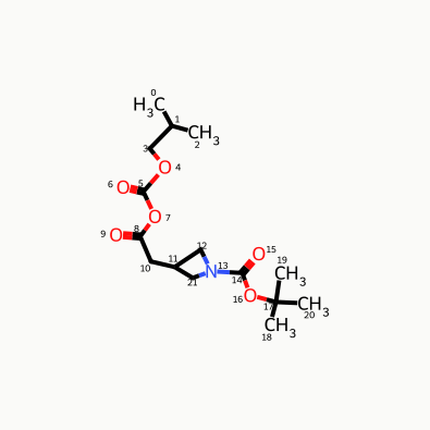 CC(C)COC(=O)OC(=O)CC1CN(C(=O)OC(C)(C)C)C1